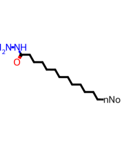 CCCCCCCCCCCCCCCCCCCCCC(=O)NN